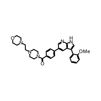 COc1ccccc1-c1c[nH]c2ncc(-c3ccc(C(=O)N4CCN(CCN5CCOCC5)CC4)cc3)cc12